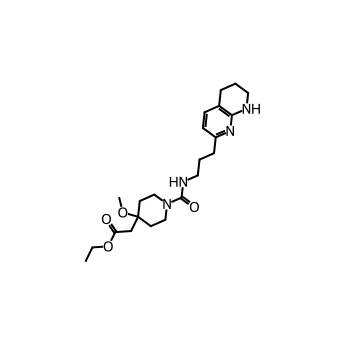 CCOC(=O)CC1(OC)CCN(C(=O)NCCCc2ccc3c(n2)NCCC3)CC1